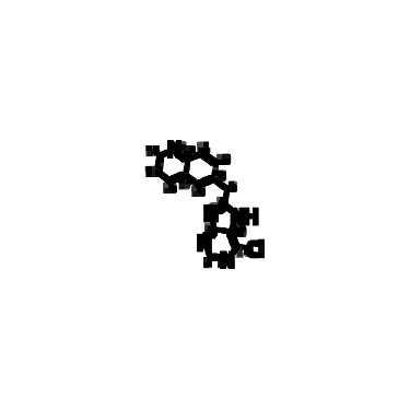 Clc1ncnc2nc(Cc3ccc4ncccc4c3)[nH]c12